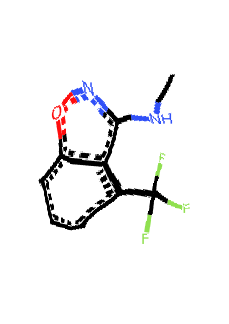 CNc1noc2cccc(C(F)(F)F)c12